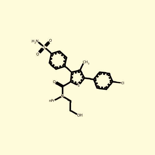 CCCN(CCO)C(=O)c1sc(-c2ccc(Cl)cc2)c(C)c1-c1ccc(S(N)(=O)=O)cc1